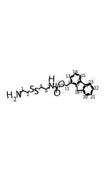 NCCSSCCNC(=O)OCc1cccc2c1Cc1ccccc1-2